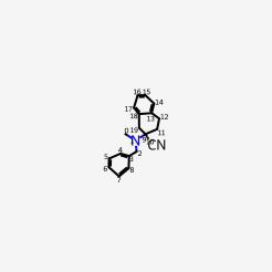 CN(Cc1ccccc1)C1(C#N)CCc2ccccc2C1